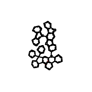 c1ccc(-c2ccccc2N(c2ccc3c(c2)C(c2ccccc2)(c2ccccc2)c2ccccc2-3)c2ccc3c(c2)oc2c(-n4c5ccccc5c5ccccc54)c4c(cc23)oc2ccccc24)cc1